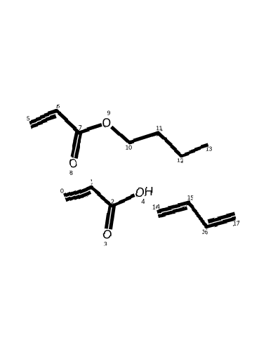 C=CC(=O)O.C=CC(=O)OCCCC.C=CC=C